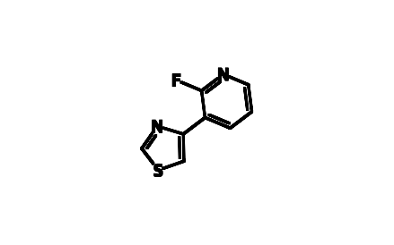 Fc1ncccc1-c1cscn1